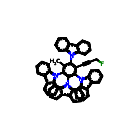 Cc1c(-n2c3ccccc3c3ccccc32)c(C#CCF)c(-n2c3ccccc3c3ccccc32)c(-n2c3ccccc3c3ccccc32)c1-n1c2ccccc2c2ccccc21